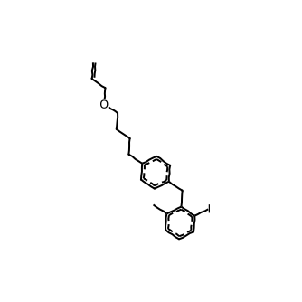 C=CCOCCCCc1ccc(Cc2c(C)cccc2I)cc1